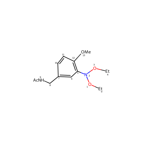 CCON(OCC)c1cc(CNC(C)=O)ccc1OC